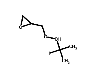 CC(C)(I)BOCC1CO1